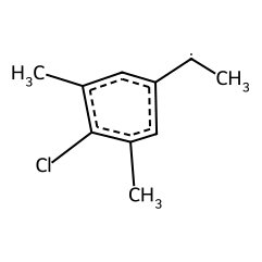 C[CH]c1cc(C)c(Cl)c(C)c1